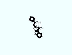 O=c1[nH]c(CC(O)c2ccccc2)nc2sc3ccccc3c12